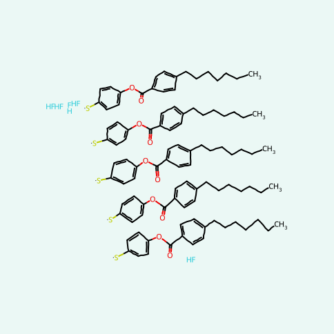 CCCCCCCc1ccc(C(=O)Oc2ccc([S])cc2)cc1.CCCCCCCc1ccc(C(=O)Oc2ccc([S])cc2)cc1.CCCCCCCc1ccc(C(=O)Oc2ccc([S])cc2)cc1.CCCCCCCc1ccc(C(=O)Oc2ccc([S])cc2)cc1.CCCCCCCc1ccc(C(=O)Oc2ccc([S])cc2)cc1.F.F.F.F.F